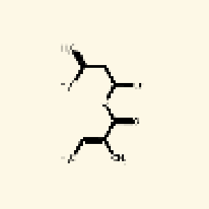 C=C(C)CC(C)OC(=O)C(C)=CC